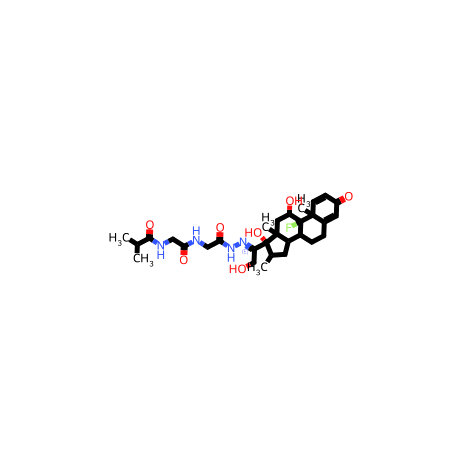 CC(C)C(=O)NCC(=O)NCC(=O)N/N=C(\CO)C1(O)C(C)CC2C3CCC4=CC(=O)C=CC4(C)C3(F)C(O)CC21C